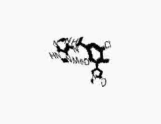 COc1c(C(C)Nc2ncnc3[nH]cnc23)cc(Cl)c(C)c1C1CC(=O)N(C)C1